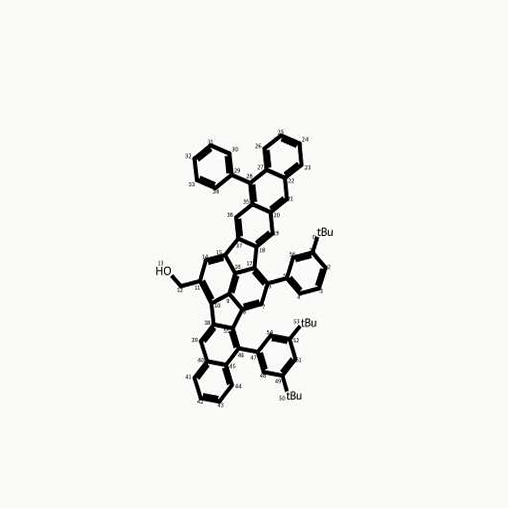 CC(C)(C)c1cccc(-c2cc3c4c(c(CO)cc5c4c2-c2cc4cc6ccccc6c(-c6ccccc6)c4cc2-5)-c2cc4ccccc4c(-c4cc(C(C)(C)C)cc(C(C)(C)C)c4)c2-3)c1